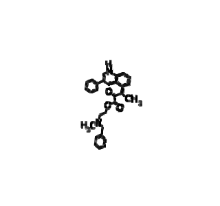 CC(C(=O)C(=O)OCCN(C)Cc1ccccc1)=c1cccc2c1=CC(c1ccccc1)=CN2